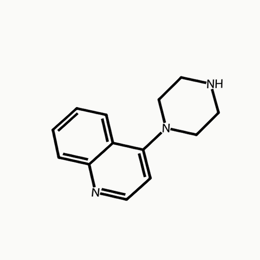 c1ccc2c(N3CCNCC3)ccnc2c1